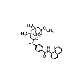 COC(=O)CC(C)(C)CC(C)(C)CC(=O)Nc1ccc(C(=O)Nc2cccc3cccnc23)cc1